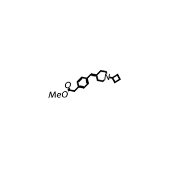 COC(=O)Cc1ccc(C=C2CCN(C3CCC3)CC2)cc1